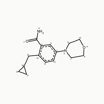 NC(=O)c1cc(N2CCOCC2)ccc1[CH]C1CC1